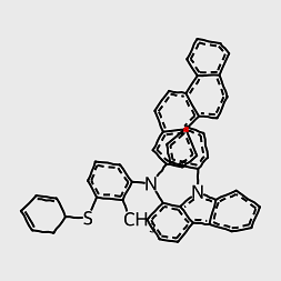 Cc1c(SC2C=CC=CC2)cccc1N(c1ccc2c(ccc3c4ccccc4ccc23)c1)c1cccc2c3ccccc3n(-c3ccccc3)c12